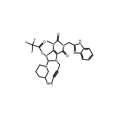 CC#CCN1c2c(n(C)c(=O)n(Cc3nc4ccccc4[nH]3)c2=O)N(OC(=O)C(F)(F)F)C1N1CCCC(N)C1